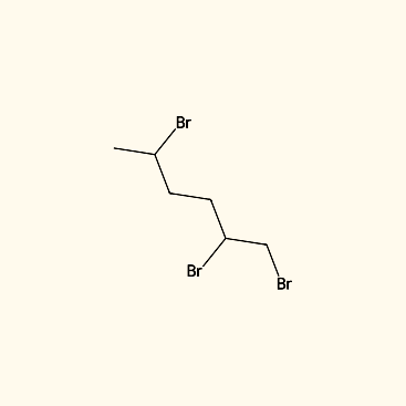 CC(Br)CCC(Br)CBr